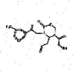 C=CCC1C(CC(=C)c2cccc(C(F)(F)F)c2)C(=O)OCN1C(=O)OC(C)(C)C